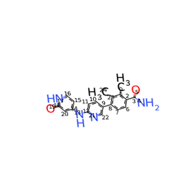 Cc1c(C(N)=O)ccc(-c2ccc(Nc3cc[nH]c(=O)c3)nc2)c1C